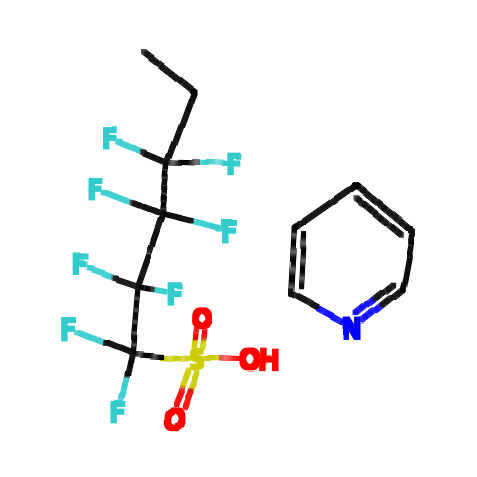 CCC(F)(F)C(F)(F)C(F)(F)C(F)(F)S(=O)(=O)O.c1ccncc1